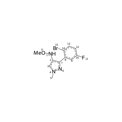 CONc1cn(C)nc1-c1cc(F)ccc1Br